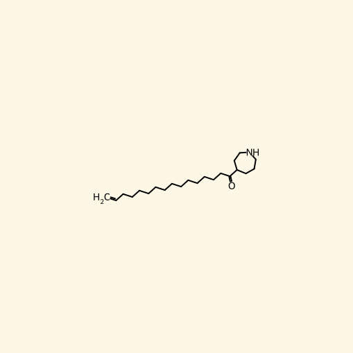 C=CCCCCCCCCCCCCCC(=O)C1CCCNCC1